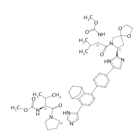 COC(=O)N[C@H](C(=O)N1CC2(C[C@H]1c1ncc(-c3ccc(-c4ccc(-c5cnc([C@@H]6CCCN6C(=O)[C@@H](NC(=O)OC)C(C)C)[nH]5)c5c4C4CCC5CC4)cc3)[nH]1)OCCO2)C(C)C